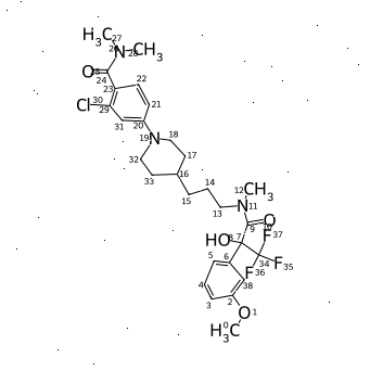 COc1cccc(C(O)(C(=O)N(C)CCCC2CCN(c3ccc(C(=O)N(C)C)c(Cl)c3)CC2)C(F)(F)F)c1